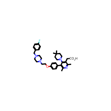 Cc1nc(C)c(-c2ccc(OCCN3CCN(Cc4ccc(F)cc4)CC3)cc2)c(N2CCC(C)(C)CC2)c1CC(=O)O